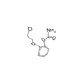 NC(=O)Oc1ccccc1OCCCl